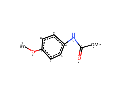 COC(=O)Nc1ccc(OC(C)C)cc1